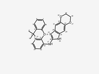 CC(C)(C)c1ccccc1Oc1ncccc1Nc1nc2cc3c(cc2[nH]1)OCCO3